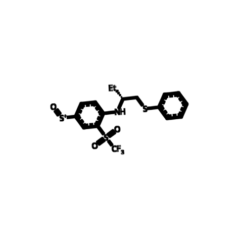 CC[C@H](CSc1ccccc1)Nc1ccc([S+]=O)cc1S(=O)(=O)C(F)(F)F